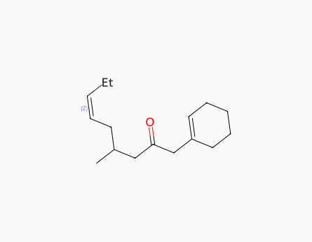 CC/C=C\CC(C)CC(=O)CC1=CCCCC1